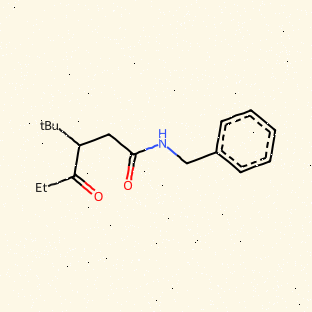 CCC(=O)C(CC(=O)NCc1ccccc1)C(C)(C)C